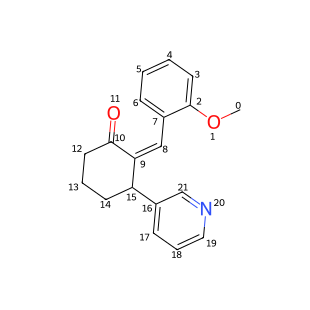 COc1ccccc1C=C1C(=O)CCCC1c1cccnc1